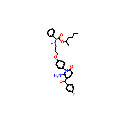 CCCCC(C)OC(=O)[C@@H](NCCCOc1ccc(-n2c(N)c(C(=O)c3ccc(F)cc3)ccc2=O)cc1)c1ccccc1